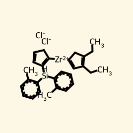 CCC1=C(CC)C[C]([Zr+2][C]2=C([SiH](c3ccccc3C)c3ccccc3C)C=CC2)=C1.[Cl-].[Cl-]